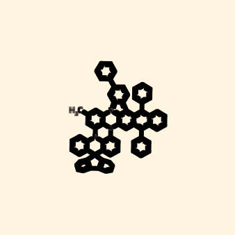 Cc1cc2c3c(c1)-n1c4cc(-c5ccccc5)ccc4c4c5c(-c6ccccc6)c6ccccc6c(-c6ccccc6)c5cc(c41)B3c1cccc3c1N2c1ccccc1C31C2=C(C=CCC2)c2ccccc21